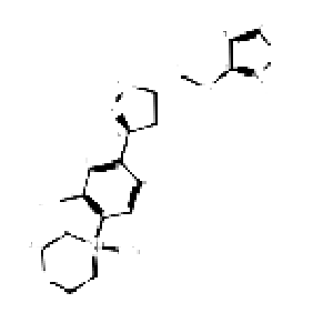 [O-][N+]1(c2ccc(C3=NO[C@H](CNc4ccon4)C3)cc2F)CCSCC1